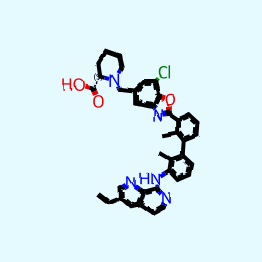 C=Cc1cnc2c(Nc3cccc(-c4cccc(-c5nc6cc(CN7CCCC[C@H]7C(=O)O)cc(Cl)c6o5)c4C)c3C)nccc2c1